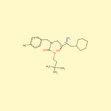 C[Si](C)(C)CCOC(=O)[As](Cc1ccc(C#N)cc1)C[C@H](O)[C@@H](N)CC1CCCCC1